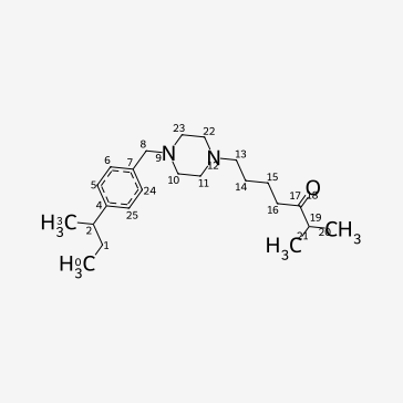 CCC(C)c1ccc(CN2CCN(CCCCC(=O)C(C)C)CC2)cc1